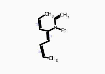 C=CN(CC)C(/C=C\C)=C/C=C\C